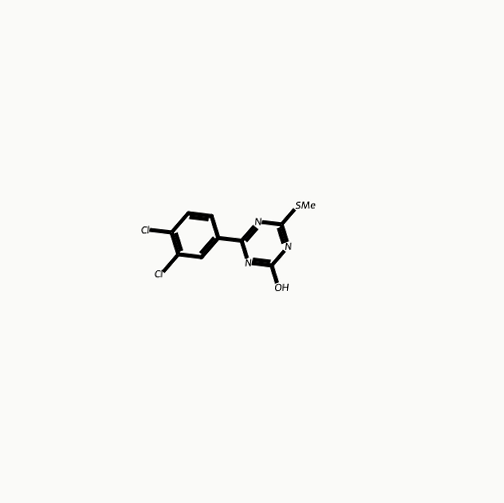 CSc1nc(O)nc(-c2ccc(Cl)c(Cl)c2)n1